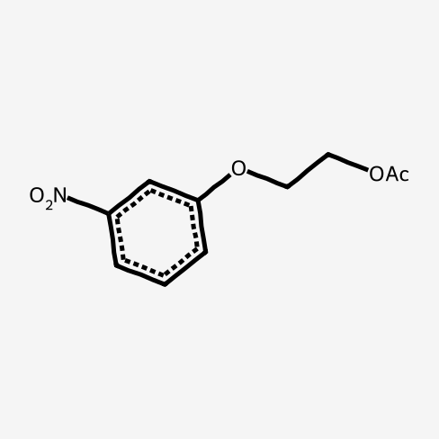 CC(=O)OCCOc1cccc([N+](=O)[O-])c1